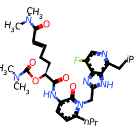 CCCc1ccc(NC(=O)[C@H](CC/C=C/C(=O)N(C)C)OC(=O)N(C)C)c(=O)n1Cc1nc2c(F)cnc(CC(C)C)c2[nH]1